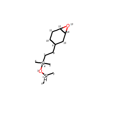 C[SiH](C)O[Si](C)(C)CCC1CCC2OC2C1